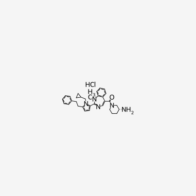 CN1C(c2ccc(CCc3ccccc3)n2CC2CC2)=NC=C(C(=O)N2CCC[C@@H](N)C2)c2ccccc21.Cl